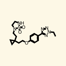 CCn1nnc(-c2ccc(OCCC3(CCN4CCNS4(=O)=O)CC3)cc2)n1